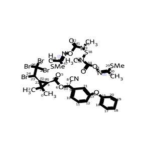 CC1(C)[C@H](C(=O)O[C@H](C#N)c2cccc(Oc3ccccc3)c2)[C@@H]1C(Br)C(Br)(Br)Br.CS/C(C)=N\OC(=O)N(C)SN(C)C(=O)O/N=C(/C)SC